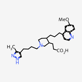 COc1ccc2nccc(CCCC3CCN(CCCCc4c[nH]nc4C)CC3CCC(=O)O)c2c1